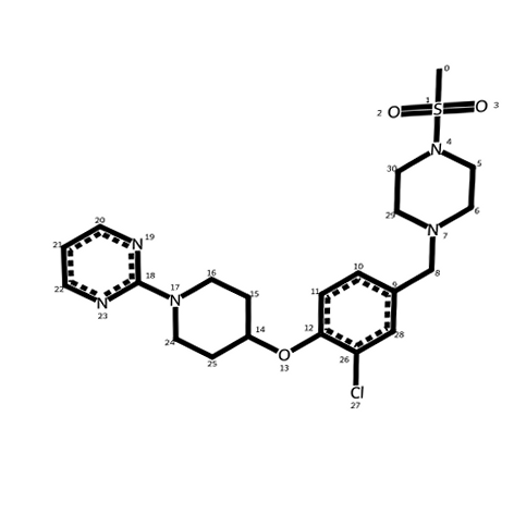 CS(=O)(=O)N1CCN(Cc2ccc(OC3CCN(c4ncccn4)CC3)c(Cl)c2)CC1